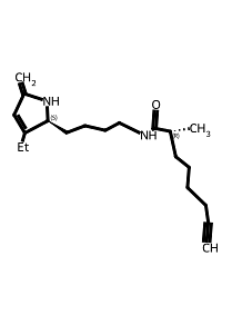 C#CCCCC[C@@H](C)C(=O)NCCCC[C@@H]1NC(=C)C=C1CC